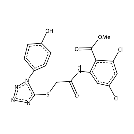 COC(=O)c1c(Cl)cc(Cl)cc1NC(=O)CSc1nnnn1-c1ccc(O)cc1